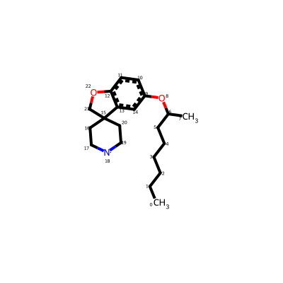 CCCCCCC(C)Oc1ccc2c(c1)C1(CC[N]CC1)CO2